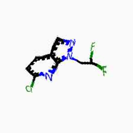 FC(F)Cn1ncc2ccc(Cl)nc21